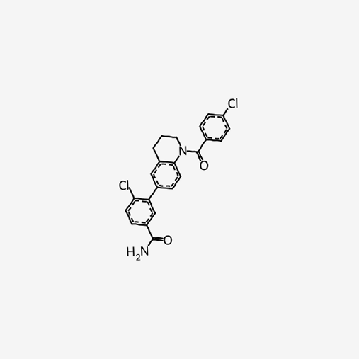 NC(=O)c1ccc(Cl)c(-c2ccc3c(c2)CCCN3C(=O)c2ccc(Cl)cc2)c1